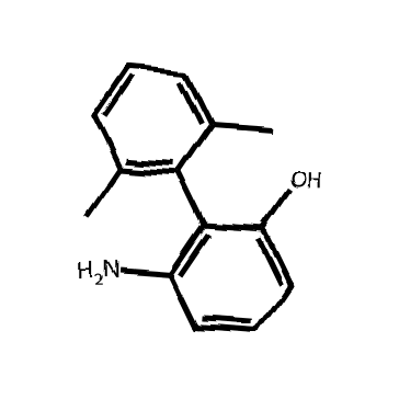 Cc1cccc(C)c1-c1c(N)cccc1O